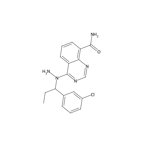 CCC(c1cccc(Cl)c1)N(N)c1ncnc2c(C(N)=O)cccc12